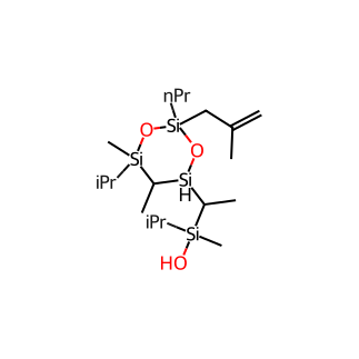 C=C(C)C[Si]1(CCC)O[SiH](C(C)[Si](C)(O)C(C)C)C(C)[Si](C)(C(C)C)O1